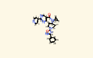 O=C(c1cnc(-c2ccncc2)nc1)N(C1CC1)C1CCN(c2nc(-c3ccccc3)no2)CC1